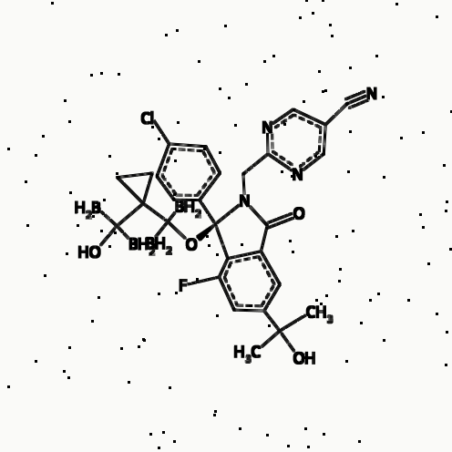 BC(B)(O)C1(C(B)(B)O[C@]2(c3ccc(Cl)cc3)c3c(F)cc(C(C)(C)O)cc3C(=O)N2Cc2ncc(C#N)cn2)CC1